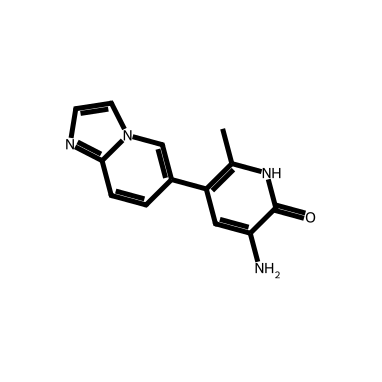 Cc1[nH]c(=O)c(N)cc1-c1ccc2nccn2c1